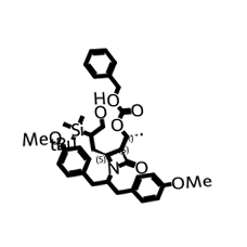 COc1ccc(CC(Cc2ccc(OC)cc2)N2C(=O)[C@H]([C@@H](C)OC(=O)OCc3ccccc3)[C@@H]2CC(CO)[Si](C)(C)C(C)(C)C)cc1